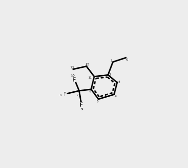 CCc1[c]ccc(C(F)(F)F)c1CC